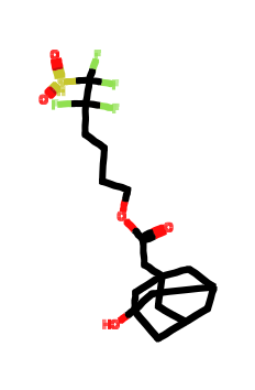 O=C(CC12CC3CC(CC(O)(C3)C1)C2)OCCCCC(F)(F)C(F)(F)[SH](=O)=O